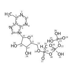 Cc1ncnc2c1ncn2C1OC(COP(C)(=O)OP(=O)(O)OP(=O)(O)O)C(O)C1O